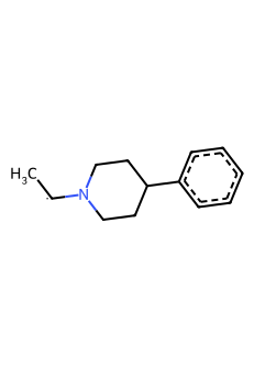 C[CH]N1CCC(c2ccccc2)CC1